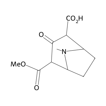 COC(=O)C1C(=O)C(C(=O)O)C2CCC1N2C